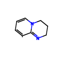 [C]1=CC=CN2CCCN=C12